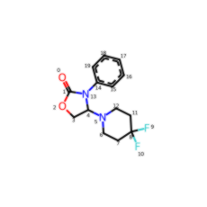 O=C1OCC(N2CCC(F)(F)CC2)N1c1ccccc1